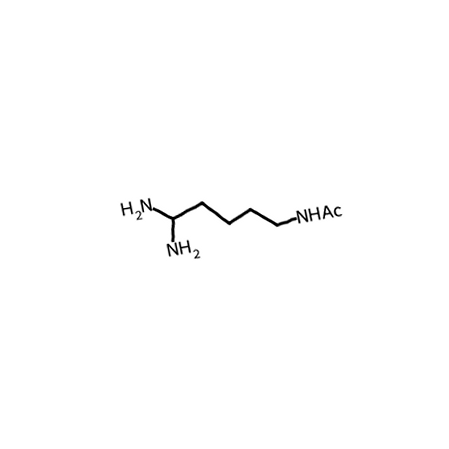 CC(=O)NCCCCC(N)N